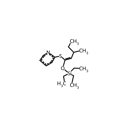 CCC(C)C=C(O[Si](CC)(CC)CC)Sc1ccccn1